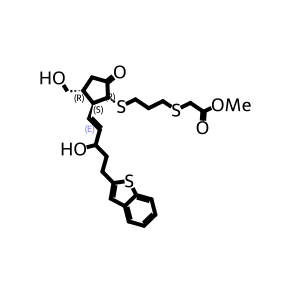 COC(=O)CSCCCS[C@H]1C(=O)C[C@@H](CO)[C@@H]1/C=C/C(O)CCc1cc2ccccc2s1